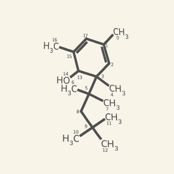 CC1=CC(C)(C(C)(C)CC(C)(C)C)C(O)C(C)=C1